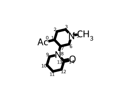 CC(=O)C1CCN(C)CC1N1CCCCC1=O